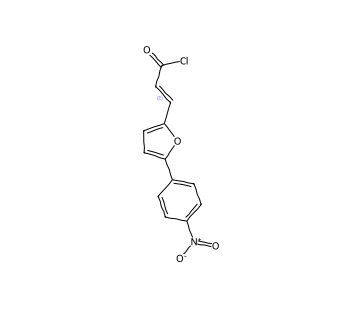 O=C(Cl)/C=C/c1ccc(-c2ccc([N+](=O)[O-])cc2)o1